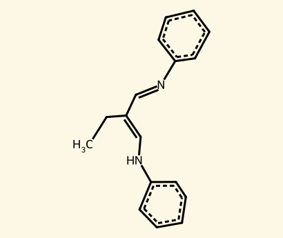 CCC(C=Nc1ccccc1)=CNc1ccccc1